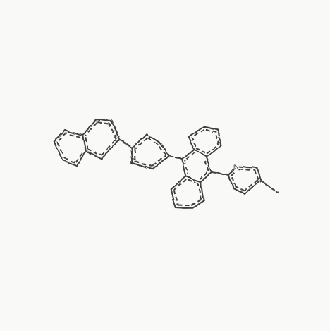 Cc1ccc(-c2c3ccccc3c(-c3ccc(-c4ccc5ccccc5c4)cc3)c3ccccc23)nc1